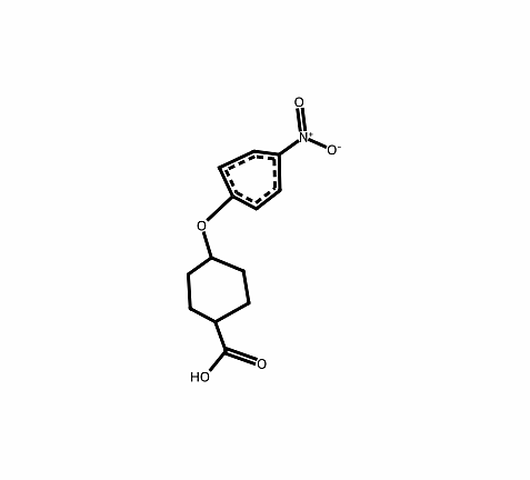 O=C(O)C1CCC(Oc2ccc([N+](=O)[O-])cc2)CC1